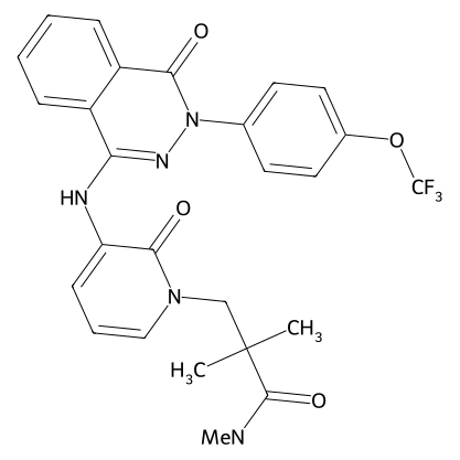 CNC(=O)C(C)(C)Cn1cccc(Nc2nn(-c3ccc(OC(F)(F)F)cc3)c(=O)c3ccccc23)c1=O